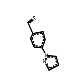 S=Cc1ccc(-n2cccn2)cc1